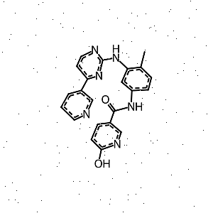 Cc1ccc(NC(=O)c2ccc(O)nc2)cc1Nc1nccc(-c2cccnc2)n1